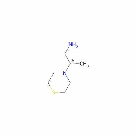 C[C@@H](CN)N1CCSCC1